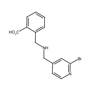 O=C(O)c1ccccc1CNCc1ccnc(Br)c1